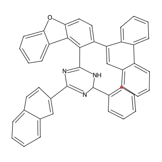 c1ccc(C2N=C(c3ccc4ccccc4c3)N=C(c3c(-c4cc5ccccc5c5ccccc45)ccc4oc5ccccc5c34)N2)cc1